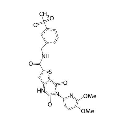 COc1ccc(-n2c(=O)[nH]c3cc(C(=O)NCc4cccc(S(C)(=O)=O)c4)sc3c2=O)nc1OC